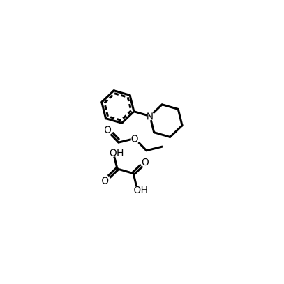 CCOC=O.O=C(O)C(=O)O.c1ccc(N2CCCCC2)cc1